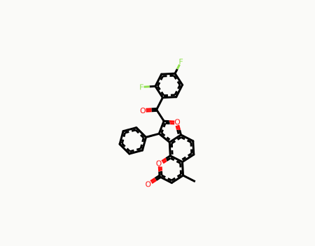 Cc1cc(=O)oc2c1ccc1oc(C(=O)c3ccc(F)cc3F)c(-c3ccccc3)c12